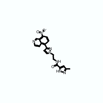 Cc1cc(C(=O)NCCn2ccc(-c3ccc([N+](=O)[O-])c4cnccc34)n2)[nH]n1